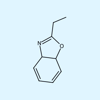 CCC1=NC2C=CC=CC2O1